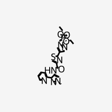 CCOP(=O)(Cn1cc(-c2nc(C(=O)Nc3cn(C)nc3-c3ccccn3)cs2)cn1)OCC